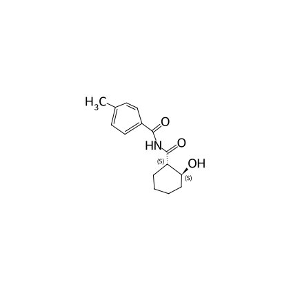 Cc1ccc(C(=O)NC(=O)[C@H]2CCCC[C@@H]2O)cc1